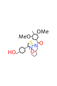 COc1cc(C(=O)N(CC2CCCO2)c2nc(-c3ccc(CO)cc3)cs2)cc(OC)c1C